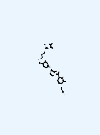 CN(CCCSc1nc(=O)c(=O)[nH]n1C)C(=O)c1ccc(Nc2nccn3c(-c4ccc(OCC#N)c(F)c4F)cnc23)cc1Cl